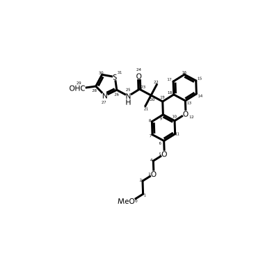 COCCOCOc1ccc2c(c1)Oc1ccccc1C2C(C)(C)C(=O)Nc1nc(C=O)cs1